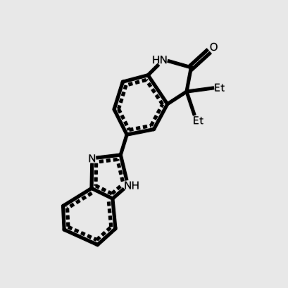 CCC1(CC)C(=O)Nc2ccc(-c3nc4ccccc4[nH]3)cc21